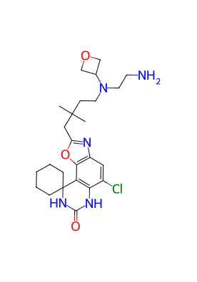 CC(C)(CCN(CCN)C1COC1)Cc1nc2cc(Cl)c3c(c2o1)C1(CCCCC1)NC(=O)N3